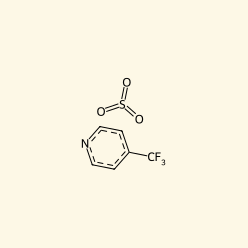 FC(F)(F)c1ccncc1.O=S(=O)=O